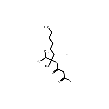 CCCCCCC(C)(OC(=O)CC(=O)[O-])C(C)C.[K+]